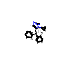 CB(c1ccccc1)c1ccccc1.c1cn(C2CC2)cn1